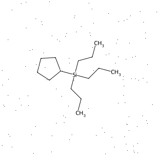 CCC[Si](CCC)(CCC)[C]1CCCC1